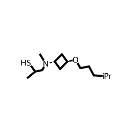 CC(C)CCCO[C@H]1C[C@H](N(C)CC(C)S)C1